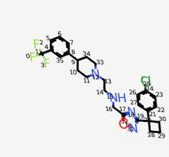 FC(F)(F)c1cccc(C2CCN(CCNCc3nc(C4(c5ccc(Cl)cc5)CCC4)no3)CC2)c1